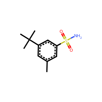 Cc1cc(C(C)(C)C)cc(S(N)(=O)=O)c1